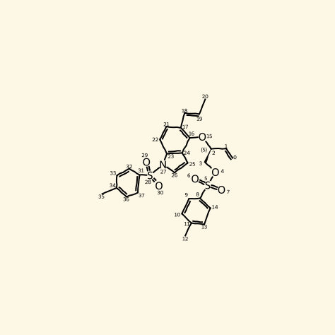 C=C[C@@H](COS(=O)(=O)c1ccc(C)cc1)Oc1c(C=CC)ccc2c1ccn2S(=O)(=O)c1ccc(C)cc1